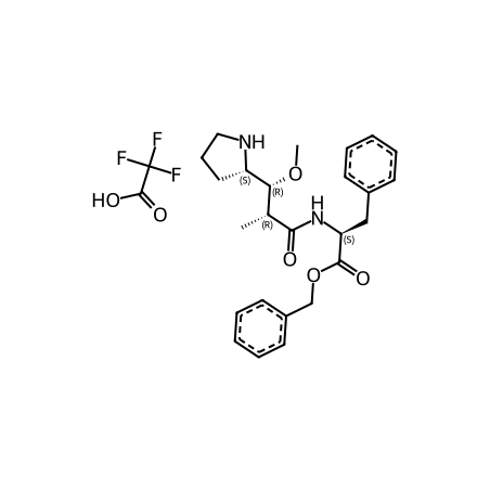 CO[C@@H]([C@@H]1CCCN1)[C@@H](C)C(=O)N[C@@H](Cc1ccccc1)C(=O)OCc1ccccc1.O=C(O)C(F)(F)F